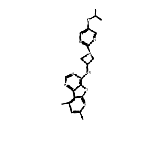 Cc1cc(C)c2c(n1)oc1c(NC3CN(c4ncc(OC(C)C)cn4)C3)ncnc12